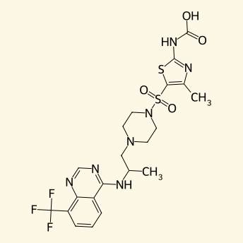 Cc1nc(NC(=O)O)sc1S(=O)(=O)N1CCN(CC(C)Nc2ncnc3c(C(F)(F)F)cccc23)CC1